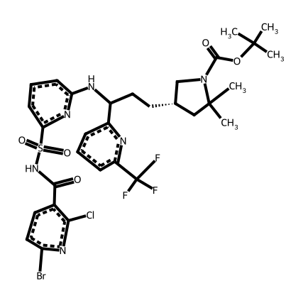 CC(C)(C)OC(=O)N1C[C@@H](CCC(Nc2cccc(S(=O)(=O)NC(=O)c3ccc(Br)nc3Cl)n2)c2cccc(C(F)(F)F)n2)CC1(C)C